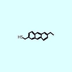 CCc1ccc2cc3cc(CS)ccc3cc2c1